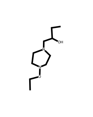 CCON1CCN(CC(O)CC)CC1